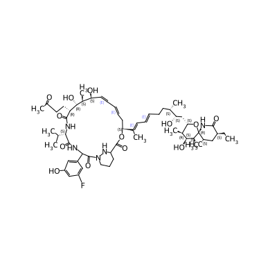 CC[C@H]1C[C@H](C)[C@@]2(NC1=O)O[C@@H](C[C@H](O)[C@@H](C)CC/C=C/C=C(\C)[C@@H]1C/C=C/C=C/[C@H](O)[C@H](C)[C@@H](O)[C@@H](CCC(C)=O)C(=O)N[C@@H](C(C)C)C(=O)NC(c3cc(O)cc(F)c3)C(=O)N3CCCC(N3)C(=O)O1)[C@H](C)[C@H](O)[C@@H]2C